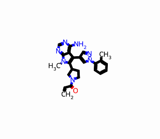 C=CC(=O)N1CCC(c2c(-c3cnn(-c4ccccc4C)c3)c3c(N)ncnc3n2C)C1